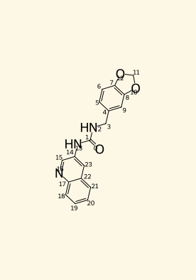 O=C(NCc1ccc2c(c1)OCO2)Nc1cnc2ccccc2c1